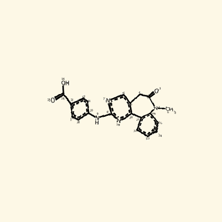 CN1C(=O)Cc2cnc(Nc3ccc(C(=O)O)cc3)nc2-c2ccccc21